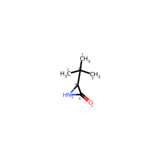 CC(C)(C)C1NC1=O